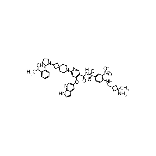 CC(C)c1ccccc1[C@@H]1CCCN1C1CC2(CCN(c3cc(Oc4cnc5[nH]ccc5c4)c(C(=O)NS(=O)(=O)c4ccc(NCC5CC(C)(N)C5)c([N+](=O)[O-])c4)cn3)CC2)C1